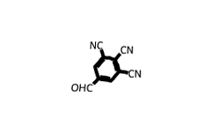 N#Cc1cc(C=O)cc(C#N)c1C#N